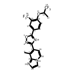 Cc1c(-c2noc(-c3ccc(OC(C)C(F)(F)F)c(C(F)(F)F)c3)n2)ccn2ccnc12